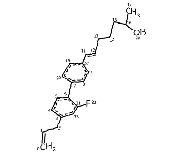 C=CCc1ccc(-c2ccc(C=CCCCC(C)O)cc2)c(F)c1